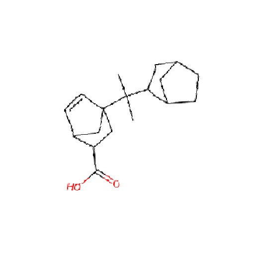 CC(C)(C1CC2CCC1C2)C12C=CC(C1)C(C(=O)O)C2